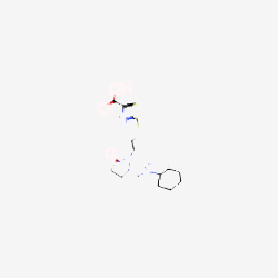 CN(C[C@H]1CCC(=O)N1CCSc1nc(C(=O)O)cs1)C1CCCCC1